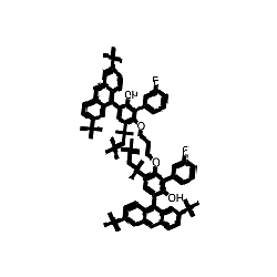 CC(C)(C)CC(C)(C)c1cc(-c2c3ccc(C(C)(C)C)cc3cc3ccc(C(C)(C)C)cc23)c(O)c(-c2cccc(F)c2)c1OCCCOc1c(C(C)(C)CC(C)(C)C)cc(-c2c3ccc(C(C)(C)C)cc3cc3ccc(C(C)(C)C)cc23)c(O)c1-c1cccc(F)c1